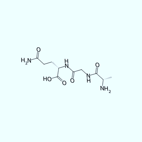 C[C@H](N)C(=O)NCC(=O)N[C@@H](CCC(N)=O)C(=O)O